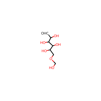 O=CC(O)C(O)C(O)C(O)COCO